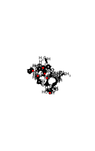 CNCCOc1ccc(C(=O)NC(=O)C[C@@H]2NC(=O)[C@H](NC(=O)[C@@H](CC(C)C)NC)[C@H](O)c3ccc4c(c3)C3NC(=O)O[C@H]5[C@H](O)[C@@H](O)[C@H](Oc6c7cc(cc6O4)[C@@H](NC2=O)C(=O)N[C@H]2C(=O)N[C@H](C(=O)N[C@H](C(=O)NC4C6CC8CC(C6)CC4C8)c4cc(O)cc(O)c4-c4cc2ccc4O)[C@H](O)c2ccc(c(Cl)c2)O7)O[C@H]35)cc1OCCNC